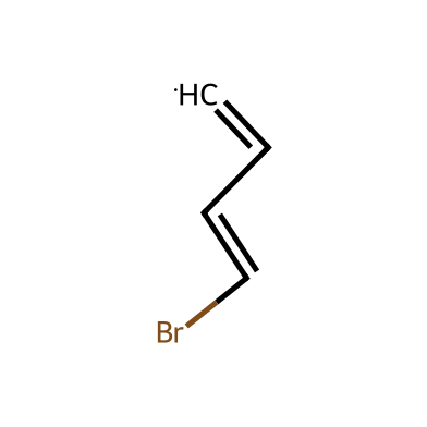 [CH]=CC=CBr